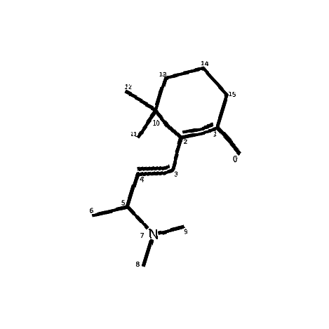 CC1=C(C=CC(C)N(C)C)C(C)(C)CCC1